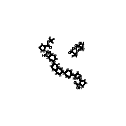 CC(C)(C)OC(=O)N1CCC[C@H]1c1nc2ccc(-c3ccc4ccc(-c5ccc(-c6cnc(C7CCCN7C(=O)O)[nH]6)cc5)cc4c3)cc2[nH]1.O=C(O)C(F)(F)F.O=C(O)C(F)(F)F